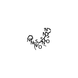 CCN1C(=O)/C(=c2/s/c(=c3\nc4c(s3)=CC=CN4C)c(=O)n2CC)S/C1=N\c1cccc[n+]1C